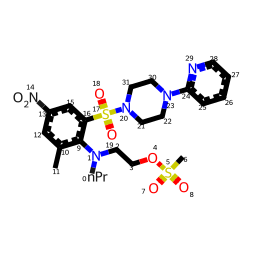 CCCN(CCOS(C)(=O)=O)c1c(C)cc([N+](=O)[O-])cc1S(=O)(=O)N1CCN(c2ccccn2)CC1